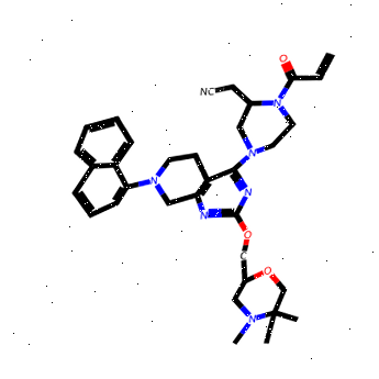 C=CC(=O)N1CCN(c2nc(OCC3CN(C)C(C)(C)CO3)nc3c2CCN(c2cccc4ccccc24)C3)CC1CC#N